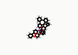 c1ccc(-c2ccccc2N(c2ccc3c(c2)C2(c4ccccc4-c4ccccc4-3)c3ccccc3-c3cc4ccccc4cc32)c2ccc3c(c2)oc2ccccc23)cc1